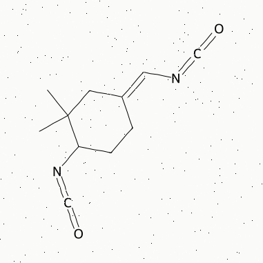 CC1(C)CC(=CN=C=O)CCC1N=C=O